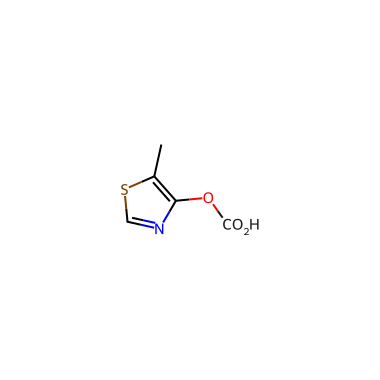 Cc1scnc1OC(=O)O